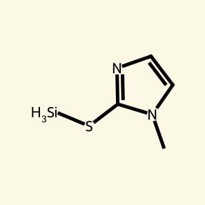 Cn1ccnc1S[SiH3]